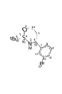 CC(C)(C)[S@+]([O-])N[C@H](CF)c1cccc(Br)c1